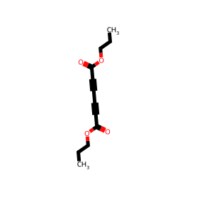 CCCOC(=O)C#CC#CC(=O)OCCC